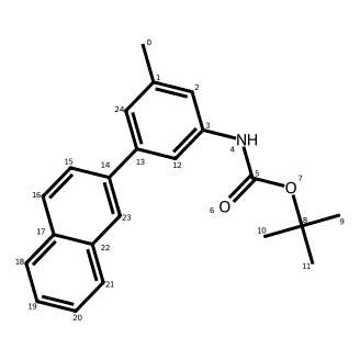 Cc1cc(NC(=O)OC(C)(C)C)cc(-c2ccc3ccccc3c2)c1